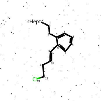 CCCCCCCCCc1ccccc1C=CCCCl